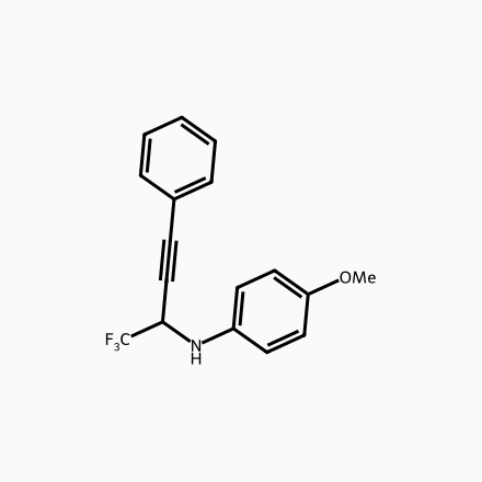 COc1ccc(NC(C#Cc2ccccc2)C(F)(F)F)cc1